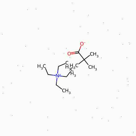 CC(C)(C)C(=O)[O-].CC[N+](CC)(CC)CC